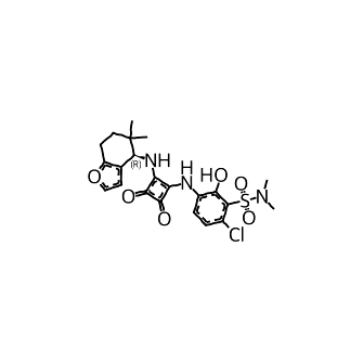 CN(C)S(=O)(=O)c1c(Cl)ccc(Nc2c(N[C@H]3c4ccoc4CCC3(C)C)c(=O)c2=O)c1O